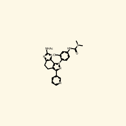 CC(=O)Nc1nc2c(s1)-c1c(c(-c3cccnc3)nn1-c1ccc(NC(=O)N(C)C)cc1Cl)CC2